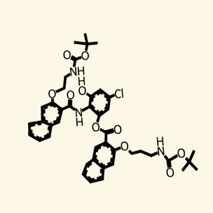 CC(C)(C)OC(=O)NCCCOc1cc2ccccc2cc1C(=O)Oc1cc(Cl)cc(O)c1NC(=O)c1cc2ccccc2cc1OCCNC(=O)OC(C)(C)C